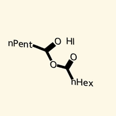 CCCCCCC(=O)OC(=O)CCCCC.I